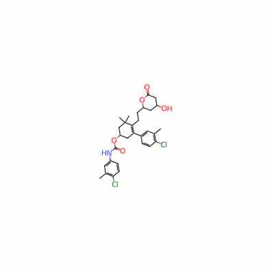 Cc1cc(NC(=O)OC2CC(c3ccc(Cl)c(C)c3)=C(CCC3CC(O)CC(=O)O3)C(C)(C)C2)ccc1Cl